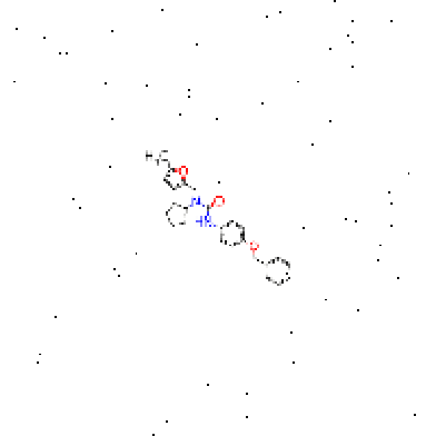 Cc1ccc(CN(C(=O)Nc2ccc(OCc3ccccc3)cc2)C2CCCC2)o1